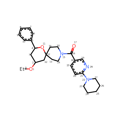 CCOC1CC(c2ccccc2)OC2(CCN(C(=O)c3ccc(N4CCCCC4)nc3)CC2)C1